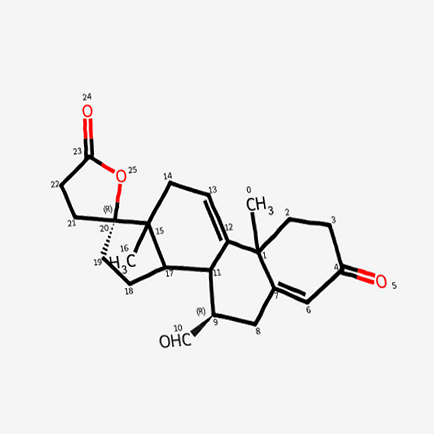 CC12CCC(=O)C=C1C[C@@H](C=O)C1C2=CCC2(C)C1CC[C@@]21CCC(=O)O1